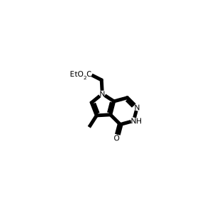 CCOC(=O)Cn1cc(C)c2c(=O)[nH]ncc21